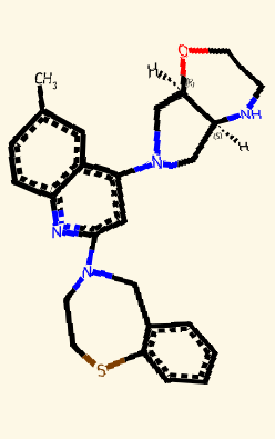 Cc1ccc2nc(N3CCSc4ccccc4C3)cc(N3C[C@@H]4NCCO[C@@H]4C3)c2c1